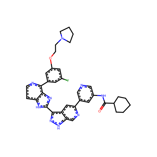 O=C(Nc1cncc(-c2cc3c(-c4nc5c(-c6cc(F)cc(OCCN7CCCC7)c6)nccc5[nH]4)n[nH]c3cn2)c1)C1CCCCC1